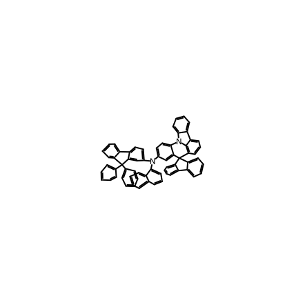 c1ccc(C2(c3ccccc3)c3ccccc3-c3ccc(N(c4ccc5c(c4)C4(c6ccccc6-c6ccccc64)c4cccc6c7ccccc7n-5c46)c4cccc5ccccc45)cc32)cc1